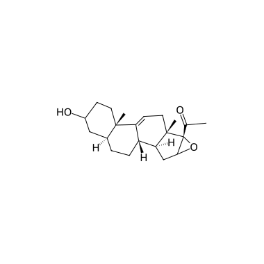 CC(=O)[C@@]12OC1C[C@H]1[C@@H]3CC[C@H]4CC(O)CC[C@]4(C)C3=CC[C@@]12C